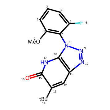 COc1cccc(F)c1-n1nnc2cc(C(C)(C)C)c(=O)[nH]c21